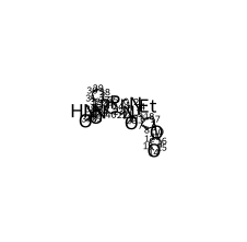 CCCc1nc(CC)c(-c2ccc(OC3CCOCC3)cc2)c(=O)n1Cc1ccc(-c2ccccc2-c2noc(=O)[nH]2)cc1